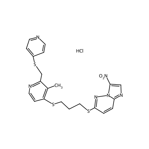 Cc1c(SCCCSc2ccc3ncc([N+](=O)[O-])n3n2)ccnc1CSc1ccncc1.Cl